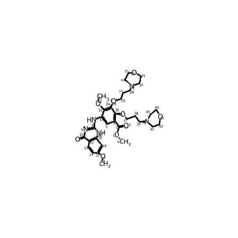 COC(=O)c1cc(Nc2nc(=O)c3ccc(OC)cc3[nH]2)c(OC)c(OCCCN2CCOCC2)c1OCCCN1CCOCC1